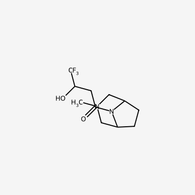 CN1CC2CCC(C1)N2C(=O)CC(O)C(F)(F)F